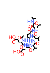 CCC[C@H](NC(=O)[C@@H]1CCCN1C(=O)[C@@H](NC(=O)[C@@H](NC(=O)[C@H](CCC(=O)O)NC(=O)[C@H](CCC(=O)O)NC(C)=O)C(C)C)C(C)C)C(=O)C(=O)NC(C)C